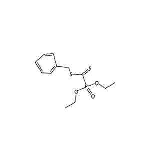 CCOP(=O)(OCC)C(=S)SCc1ccccc1